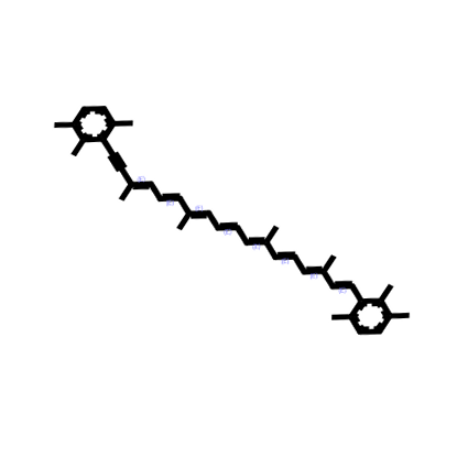 C\C(C#Cc1c(C)ccc(C)c1C)=C/C=C/C(C)=C/C=C/C=C(C)/C=C/C=C(C)/C=C/c1c(C)ccc(C)c1C